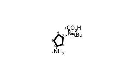 CC(C)(C)N(C(=O)O)[C@H]1CC[C@@H](N)C1